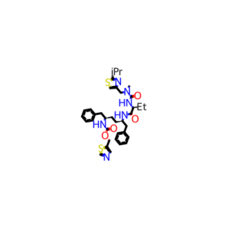 CC[C@H](NC(=O)N(C)Cc1csc(C(C)C)n1)C(=O)N[C@H](CC[C@H](Cc1ccccc1)NC(=O)OCc1cncs1)Cc1ccccc1